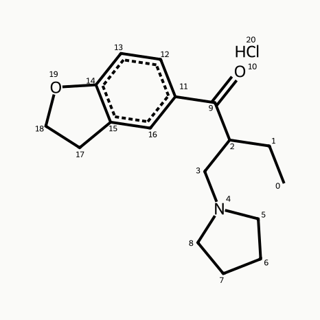 CCC(CN1CCCC1)C(=O)c1ccc2c(c1)CCO2.Cl